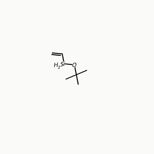 C=C[SiH2]OC(C)(C)C